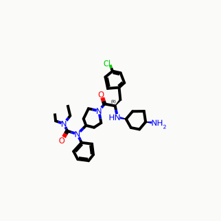 CCN(CC)C(=O)N(c1ccccc1)C1CCN(C(=O)[C@@H](Cc2ccc(Cl)cc2)N[C@H]2CC[C@@H](N)CC2)CC1